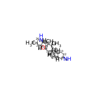 CC1=C2C[C@H]3[C@@H](CC[C@@H]4CC(=N)CC[C@@]43C)[C@@H]2CC[C@@]2(C1)O[C@@H]1C[C@H](C)CN[C@H]1[C@H]2C